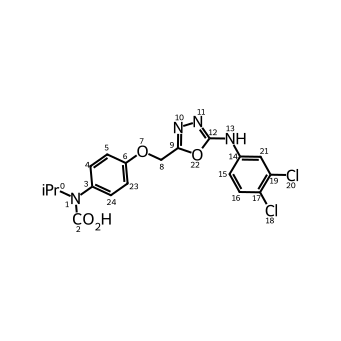 CC(C)N(C(=O)O)c1ccc(OCc2nnc(Nc3ccc(Cl)c(Cl)c3)o2)cc1